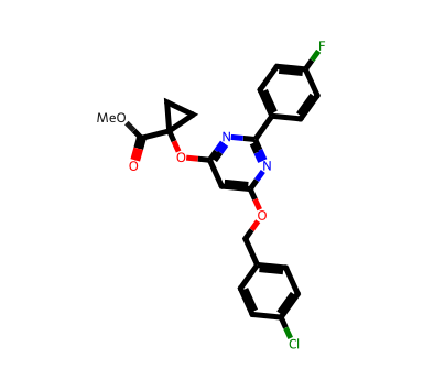 COC(=O)C1(Oc2cc(OCc3ccc(Cl)cc3)nc(-c3ccc(F)cc3)n2)CC1